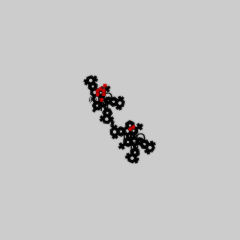 Cc1cc2c3c(c1)N(c1ccc4c(c1)C(C)(C)CCC4(C)CCC1(C)CCC(C)(C)c4cc(N5c6ccc(C(C)(C)C)cc6B6c7oc8cc9c(cc8c7N(c7ccc8c(c7)C(C)(C)CCC8(C)C)c7cc(C(C)(C)C)cc5c76)C(C)(C)CCC9(C)C)c(-c5ccccc5)cc41)c1c(oc4cc5c(cc14)C(C)(C)CCC5(C)C)B3c1cc(C(C)(C)C)ccc1C(Cc1cc3c(cc1C1C=CC=CC1C)C(C)(C)CCC3(C)C)[C@H]2C